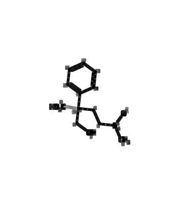 C[S+]([O-])CC[C@](CO)(C(=O)O)c1ccccc1